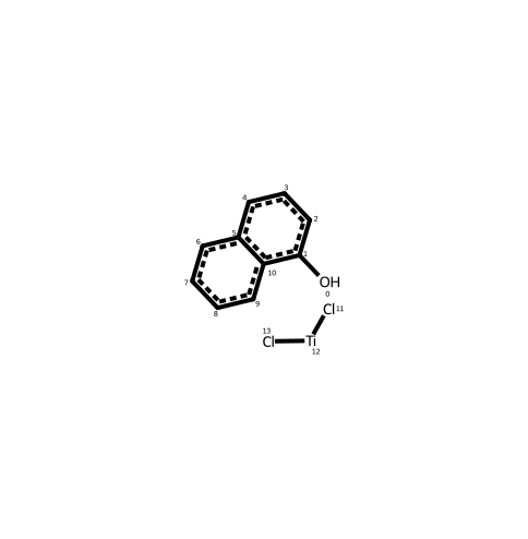 Oc1cccc2ccccc12.[Cl][Ti][Cl]